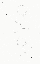 COC(=O)c1ccc(NC(=O)[C@@H](N)Cc2ccncc2)cc1